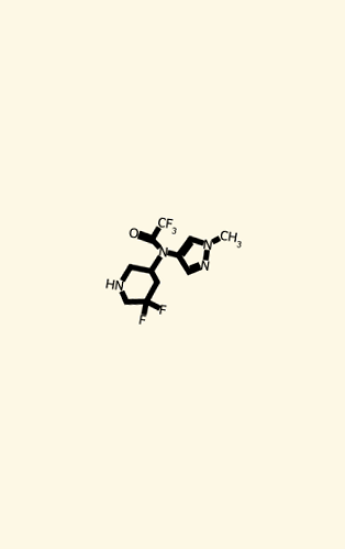 Cn1cc(N(C(=O)C(F)(F)F)C2CNCC(F)(F)C2)cn1